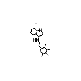 Cc1cc(CCNc2ccnc3c(F)cccc23)c(C)c(C)c1C